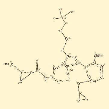 COc1nccc(OC2CC2)c1-c1cn(COCC[Si](C)(C)C)c2nc(NC(=O)C3CC3C(=O)O)ccc12